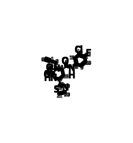 C#CCN1[C@H](C(=O)Nc2ccc(F)c(Cl)c2)C[C@H](c2nccs2)NS1(=O)=O